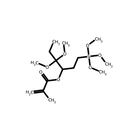 C=C(C)C(=O)OC(CC[Si](OC)(OC)OC)C(CC)(OC)OC